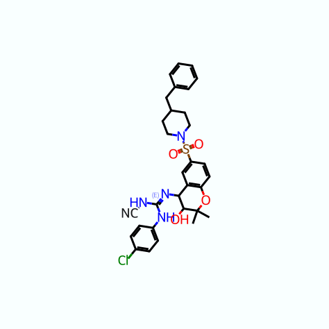 CC1(C)Oc2ccc(S(=O)(=O)N3CCC(Cc4ccccc4)CC3)cc2C(/N=C(/NC#N)Nc2ccc(Cl)cc2)C1O